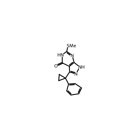 CSc1nc2[nH]nc(C3(c4ccccc4)CC3)c2c(=O)[nH]1